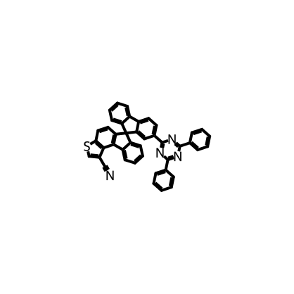 N#Cc1csc2ccc3c(c12)-c1ccccc1C31c2ccccc2-c2ccc(-c3nc(-c4ccccc4)nc(-c4ccccc4)n3)cc21